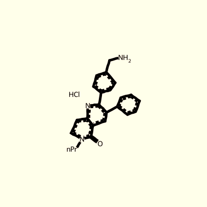 CCCn1ccc2nc(-c3ccc(CN)cc3)c(-c3ccccc3)cc2c1=O.Cl